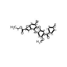 CCOC(=O)c1cc2c(Br)c(Oc3ccc(OC)c(C(=O)c4ccc(F)cc4)c3)c(Br)cc2o1